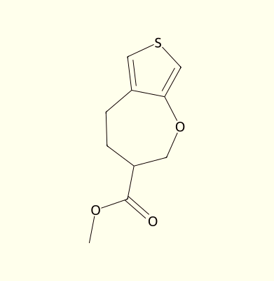 COC(=O)C1CCc2cscc2OC1